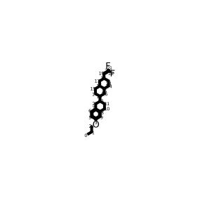 CCCOc1ccc2c(c1)CCC(C1CCC3CC(C=C(F)F)CCC3C1)C2